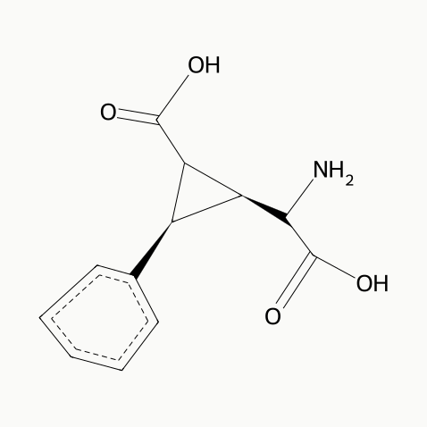 NC(C(=O)O)[C@@H]1C(C(=O)O)[C@@H]1c1ccccc1